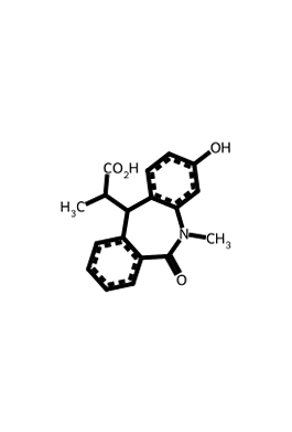 CC(C(=O)O)C1c2ccccc2C(=O)N(C)c2cc(O)ccc21